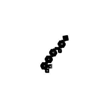 O=C(CN1CCN(c2ccc(-c3cccc(Cl)c3Cl)cc2)CC1)N1CCN(C2CCC2)CC1